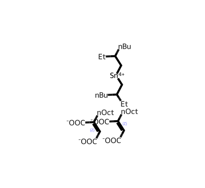 CCCCC(CC)[CH2][Sn+4][CH2]C(CC)CCCC.CCCCCCCC/C(=C/C(=O)[O-])C(=O)[O-].CCCCCCCC/C(=C/C(=O)[O-])C(=O)[O-]